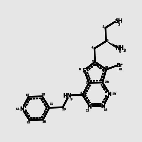 N[C@@H](CS)Cc1sc2c(NCc3ccncc3)nnnc2c1Br